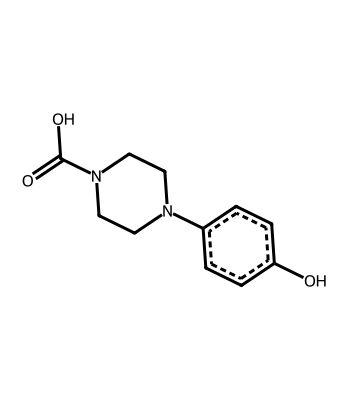 O=C(O)N1CCN(c2ccc(O)cc2)CC1